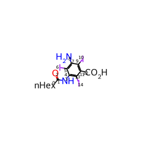 CCCCCCC(=O)Nc1c(I)c(N)c(I)c(C(=O)O)c1I